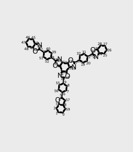 c1ccc2oc(-c3ccc(-c4nc5c(o4)c4nc(-c6ccc(-c7nc8ccccc8o7)cc6)oc4c4nc(-c6ccc(-c7nc8ccccc8o7)cc6)oc54)cc3)cc2c1